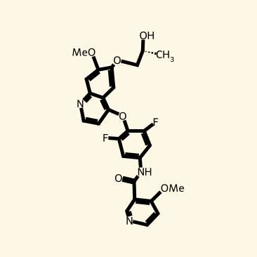 COc1cc2nccc(Oc3c(F)cc(NC(=O)c4cnccc4OC)cc3F)c2cc1OC[C@@H](C)O